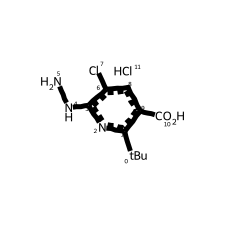 CC(C)(C)c1nc(NN)c(Cl)cc1C(=O)O.Cl